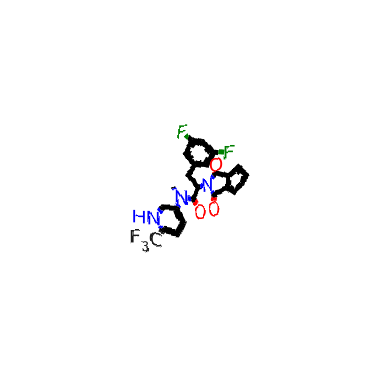 CN(C(=O)C(Cc1cc(F)cc(F)c1)N1C(=O)c2ccccc2C1=O)C1=CC=C(C(F)(F)F)NC1